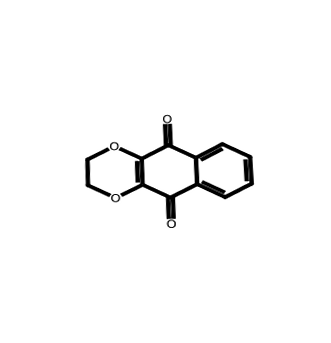 O=C1C2=C(OCCO2)C(=O)c2ccccc21